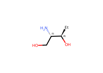 CC[C@@H](O)[C@@H](N)CO